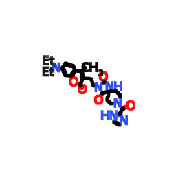 CCN(CC)c1ccc2c(C)c(CCN3C(=O)NC4(CCN(C(=O)c5ncc[nH]5)CC4)C3=O)c(=O)oc2c1